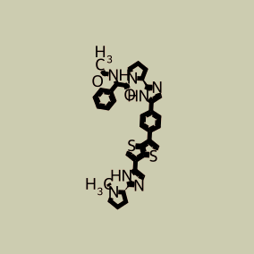 CC(=O)NC(C(=O)N1CCC[C@H]1c1ncc(-c2ccc(-c3csc4c(-c5cnc([C@@H]6CCCN6C)[nH]5)csc34)cc2)[nH]1)c1ccccc1